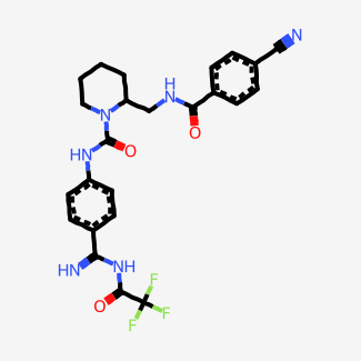 N#Cc1ccc(C(=O)NCC2CCCCN2C(=O)Nc2ccc(C(=N)NC(=O)C(F)(F)F)cc2)cc1